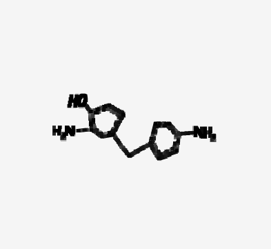 Nc1ccc(Cc2ccc(O)c(N)c2)cc1